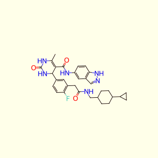 CC1=C(C(=O)Nc2ccc3[nH]ncc3c2)C(c2ccc(F)c(CC(=O)NCC3CCC(C4CC4)CC3)c2)NC(=O)N1